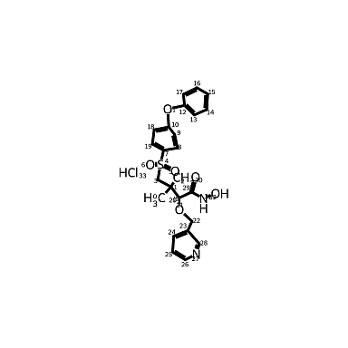 CC(C)(CS(=O)(=O)c1ccc(Oc2ccccc2)cc1)[C@H](OCc1cccnc1)C(=O)NO.Cl